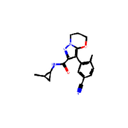 Cc1ccc(C#N)cc1-c1c(C(=O)NC2CC2C)nn2c1OCCC2